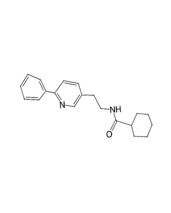 O=C(NCCc1ccc(-c2ccccc2)nc1)C1CCCCC1